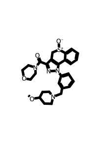 COC1CCN(Cc2cccc(-n3nc(C(=O)N4CCOCC4)c4c3-c3ccccc3[S+]([O-])C4)c2)CC1